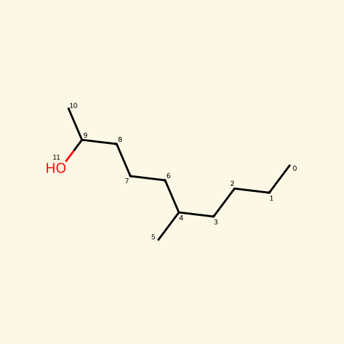 CCCCC(C)CCCC(C)O